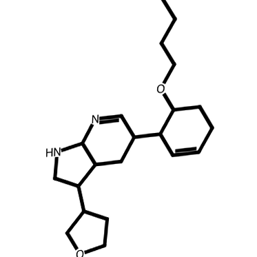 CCCCOC1CCC=CC1C1C=NC2NCC(C3CCOC3)C2C1